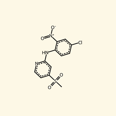 CS(=O)(=O)c1ccnc(Nc2ccc(Cl)cc2[N+](=O)[O-])c1